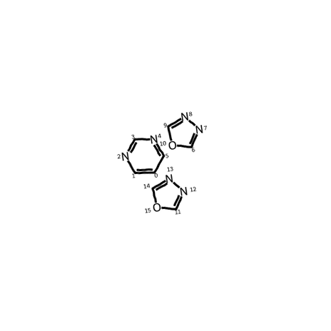 c1cncnc1.c1nnco1.c1nnco1